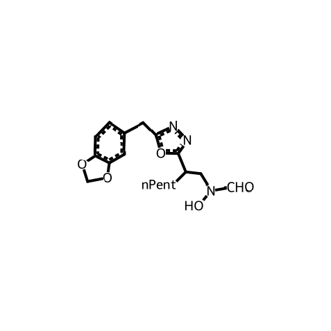 CCCCCC(CN(O)C=O)c1nnc(Cc2ccc3c(c2)OCO3)o1